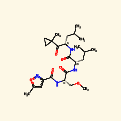 COC[C@H](NC(=O)c1cc(C)on1)C(=O)N[C@@H](CC(C)C)C(=O)N[C@@H](CC(C)C)C(=O)C1(C)CC1